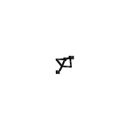 CCC12CNN1C2